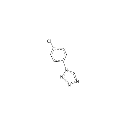 Clc1[c]cc(-n2cnnn2)cc1